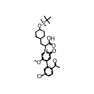 COc1cn(C(CC2CCC(O[Si](C)(C)C(C)(C)C)CC2)C(=O)O)c(=O)cc1-c1cc(Cl)ccc1C(C)=O